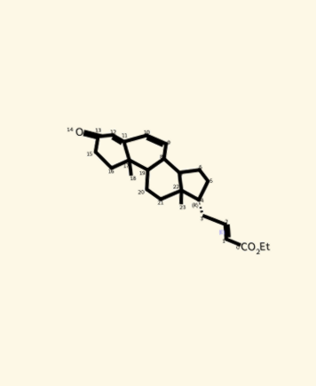 CCOC(=O)/C=C/C[C@H]1CCC2C3C=CC4=CC(=O)CCC4(C)C3CCC21C